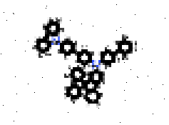 C1=CC2=C(CC1)c1ccc(N(c3ccc(-c4ccccc4)cc3)c3ccc(-c4ccc(-n5c6ccccc6c6ccccc65)cc4)cc3)cc1C2(c1ccccc1)c1ccccc1